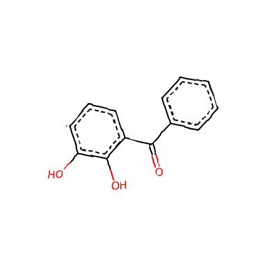 O=C(c1ccccc1)c1cc[c]c(O)c1O